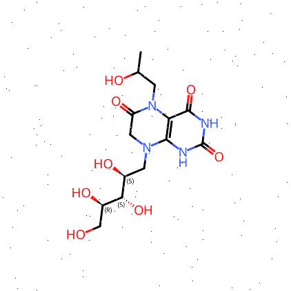 CC(O)CN1C(=O)CN(C[C@H](O)[C@H](O)[C@H](O)CO)c2[nH]c(=O)[nH]c(=O)c21